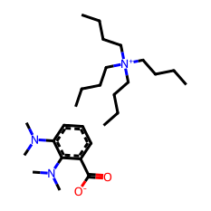 CCCC[N+](CCCC)(CCCC)CCCC.CN(C)c1cccc(C(=O)[O-])c1N(C)C